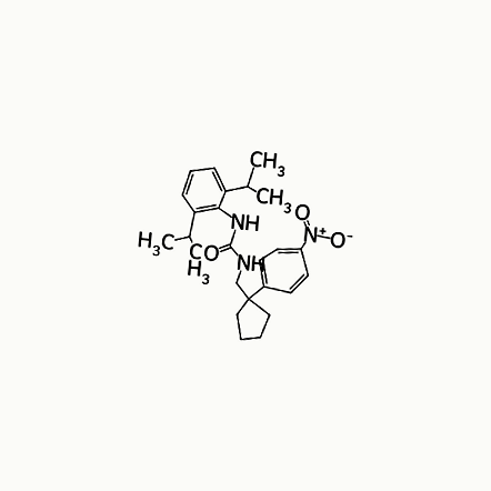 CC(C)c1cccc(C(C)C)c1NC(=O)NCC1(c2ccc([N+](=O)[O-])cc2)CCCC1